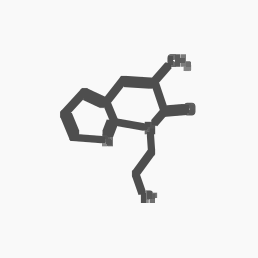 Cc1cc2cccnc2n(CCC(C)C)c1=O